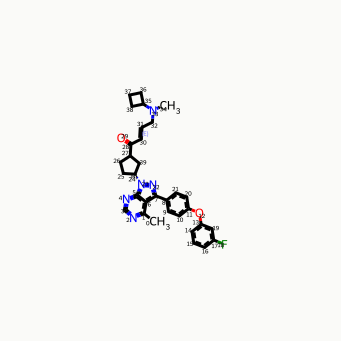 Cc1ncnc2c1c(-c1ccc(Oc3cccc(F)c3)cc1)nn2[C@@H]1CCC(C(=O)/C=C/CN(C)C2CCC2)C1